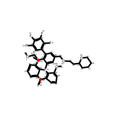 COCOc1c(-c2c(F)c(F)c(F)c(F)c2F)cc(COCCC2CCCCO2)cc1P(c1c(OC)cccc1OC)c1c(OC)cccc1OC